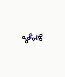 c1ccc(-n2c3ccccc3c3cc4c(cc32)c2ccccc2n4-c2cccc(-c3cnc4c5ccccc5c5ccccc5c4n3)c2)cc1